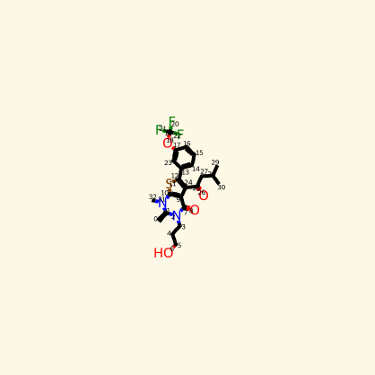 C=C1N(CCCO)C(=O)c2c(sc(-c3cccc(OC(F)(F)F)c3)c2C(=O)CC(C)C)N1C